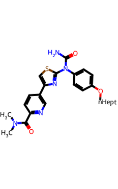 CCCCCCCOc1ccc(N(C(N)=O)c2nc(-c3ccc(C(=O)N(C)C)nc3)cs2)cc1